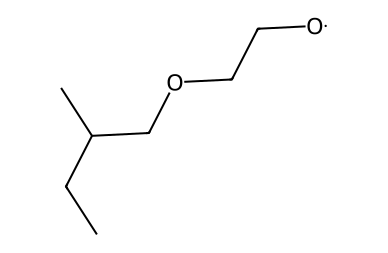 CCC(C)COCC[O]